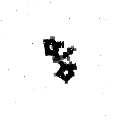 [Br-].[Br-].c1c[nH][c]([Hf+2][c]2ccc[nH]2)c1